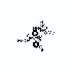 CCCOc1cccc(OS(=O)(=O)c2cc(NC(N)=NC(=O)OC)ccc2NC(=O)COC)c1